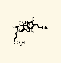 CC1=CN(CCCC(=O)O)C(=O)N[C@]1(C)c1ccc(CCC(C)(C)C)c(Cl)c1